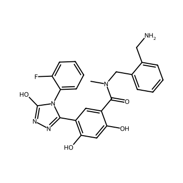 CN(Cc1ccccc1CN)C(=O)c1cc(-c2nnc(O)n2-c2ccccc2F)c(O)cc1O